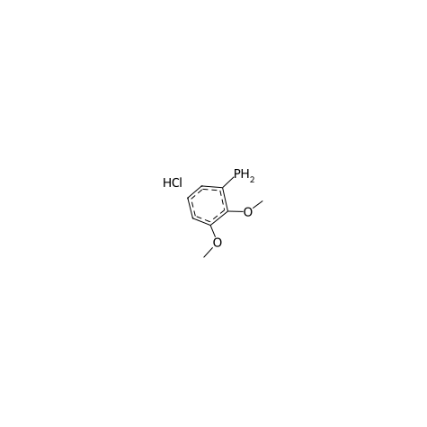 COc1cccc(P)c1OC.Cl